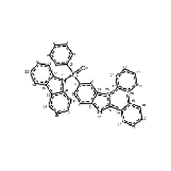 O=P(c1ccccc1)(c1ccc2nc3c4ccccc4c4ccccc4n3c2c1)n1c2ccccc2c2ccccc21